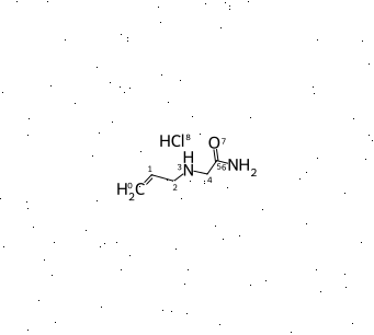 C=CCNCC(N)=O.Cl